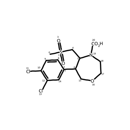 CS(=O)(=O)CC1C(c2ccc(Cl)c(Cl)c2)COCCN1C(=O)O